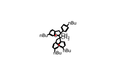 CCCCc1ccc(CC(C)(C(=O)C(C)(Cc2ccc(CCCC)cc2)c2ccc(CCCC)cc2)c2ccc(CCCC)cc2)cc1